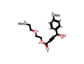 COCCOCCOC(=O)C#CC(O)c1ccc(OC)cc1